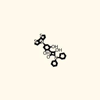 O=C1C(c2c(O)cc(-n3c4ccsc4c4sccc43)cc2O)=C(O)C1N(c1ccccc1)c1ccccc1